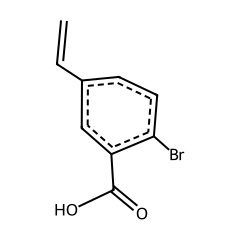 C=Cc1ccc(Br)c(C(=O)O)c1